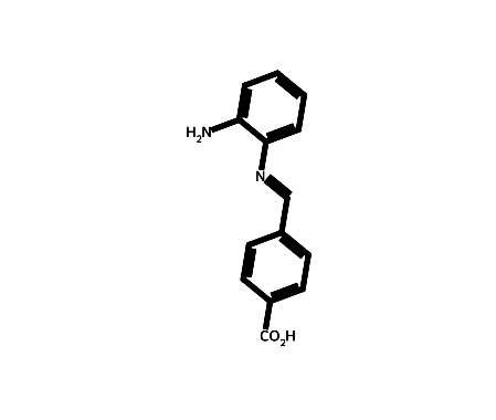 Nc1ccccc1/N=C/c1ccc(C(=O)O)cc1